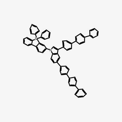 c1ccc(-c2ccc(-c3ccc(-c4ccc5c(c4)c(-c4ccc(-c6ccc(-c7ccccc7)cc6)cc4)cn5-c4ccc5c(c4)[Si](c4ccccc4)(c4ccccc4)c4ccccc4-5)cc3)cc2)cc1